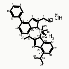 CCC1=Cc2c(-c3ccccc3)cccc2[CH]1[Ti]([CH3])([CH3])(=[SiH2])[CH]1C(CC)=Cc2c(C(C)C)cccc21.Cl.Cl